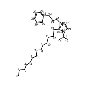 CCCCCCCCCCCCCCc1n(C(C)C)cc[n+]1CCCc1ccccc1